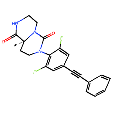 C[C@@]12CCN(c3c(F)cc(C#Cc4ccccc4)cc3F)C(=O)N1CCNC2=O